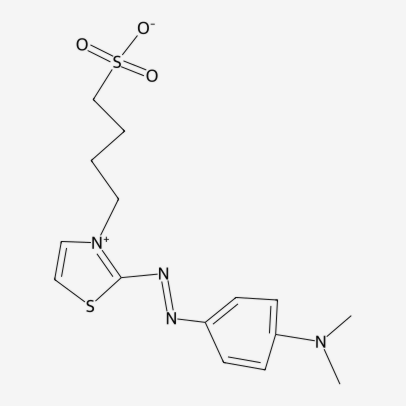 CN(C)c1ccc(/N=N/c2scc[n+]2CCCCS(=O)(=O)[O-])cc1